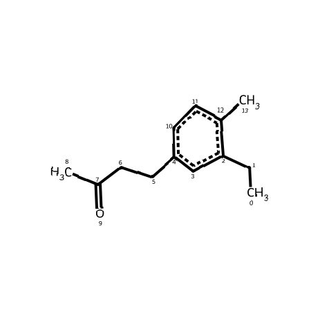 CCc1cc(CCC(C)=O)ccc1C